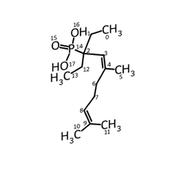 CCC(C=C(C)CCC=C(C)C)(CC)P(=O)(O)O